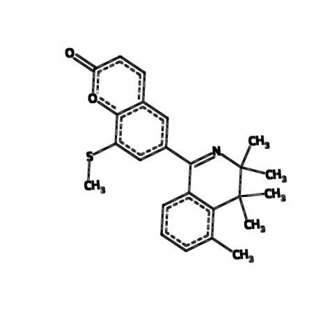 CSc1cc(C2=NC(C)(C)C(C)(C)c3c(C)cccc32)cc2ccc(=O)oc12